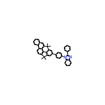 CC1(C)c2cc(-c3ccc(-n4c(-c5ccccc5)nc5ccccc54)cc3)cc3c2-c2c1ccc1c2c(cc2ccccc21)C3(C)C